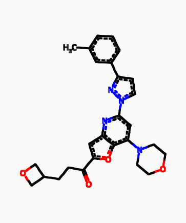 Cc1cccc(-c2ccn(-c3cc(N4CCOCC4)c4oc(C(=O)CCC5COC5)cc4n3)n2)c1